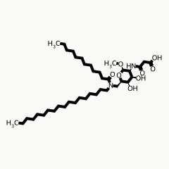 CCCCCCCCCCCCCCCCCCN(C[C@H]1O[C@H](OC)[C@H](NC(=O)CC(=O)O)[C@@H](O)[C@@H]1O)C(=O)CCCCCCCCCCC